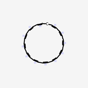 [C]1=C/C=C\C=C/C=C\C=C/C=C\C=C/C=C\C=C/C=C\C=C/C=C\C\1